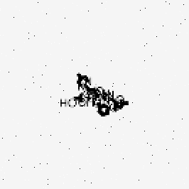 COc1cccc(OC)c1-n1c(NS(=O)(=O)[C@@H](C)[C@@H](OCC(O)CO)c2ncc(C)cn2)nnc1-c1ccc(C)o1